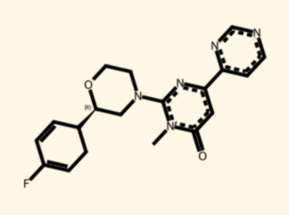 Cn1c(N2CCO[C@H](C3C=CC(F)=CC3)C2)nc(-c2ccncn2)cc1=O